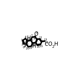 C[C@@]12C=CC[C@H]1[C@@H]1CC(=O)c3cc(CC(=O)O)ccc3[C@H]1CC2